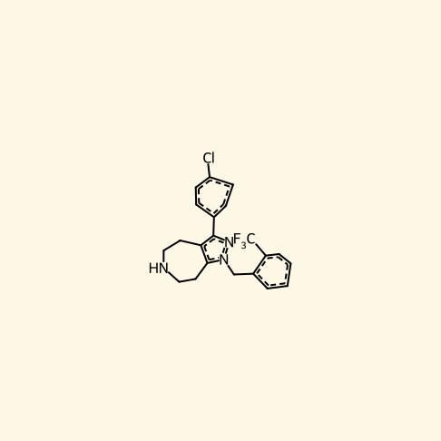 FC(F)(F)c1ccccc1Cn1nc(-c2ccc(Cl)cc2)c2c1CCNCC2